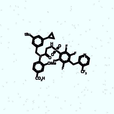 COc1cc(C(=O)O)ccc1N(Cc1cc(C2CC2)cc(C(C)(C)C)c1)C(=O)CNS(=O)(=O)c1c(F)c(F)c(Cc2cnccc2C(F)(F)F)c(F)c1F